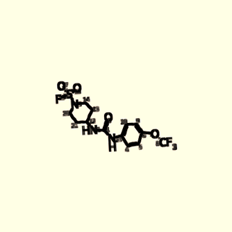 O=C(Nc1ccc(OC(F)(F)F)cc1)NC1CCN(S(=O)(=O)F)CC1